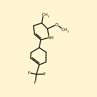 COC1NC(C2CC=C(C(F)(F)F)CC2)=CCC1C